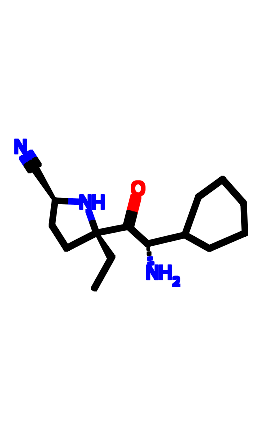 CC[C@@]1(C(=O)[C@@H](N)C2CCCCC2)CC[C@@H](C#N)N1